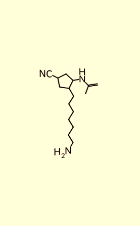 C=C(C)NC1CC(C#N)CC1CCCCCCCN